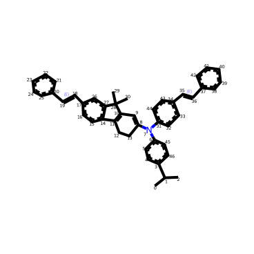 CC(C)c1ccc(N(C2=CC3=C(CC2)c2ccc(/C=C/c4ccccc4)cc2C3(C)C)c2ccc(/C=C/c3ccccc3)cc2)cc1